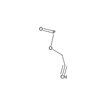 C#CCOP=O